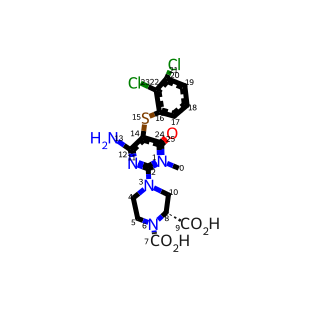 Cn1c(N2CCN(C(=O)O)[C@@H](C(=O)O)C2)nc(N)c(Sc2cccc(Cl)c2Cl)c1=O